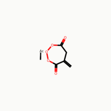 C=C1CC(=O)OOOC1=O.CC(C)=O